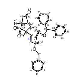 C[C@]1(/C=C/C(=O)OCc2ccccc2)[C@H](OC(=O)OC(c2ccccc2)c2ccccc2)N2C(=O)C[C@H]2S1(=O)=O